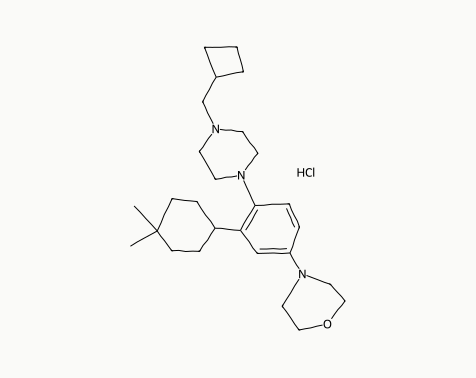 CC1(C)CCC(c2cc(N3CCOCC3)ccc2N2CCN(CC3CCC3)CC2)CC1.Cl